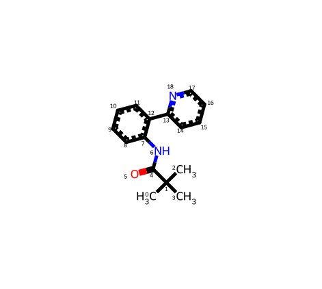 CC(C)(C)C(=O)Nc1ccccc1-c1ccccn1